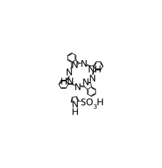 O=S(=O)(O)c1ccc[nH]1.c1ccc2c(c1)-c1nc-2nc2[nH]c(nc3nc(nc4[nH]c(n1)c1ccccc41)-c1ccccc1-3)c1ccccc21